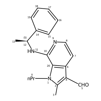 CCCn1c(C)c(C=O)c2ccnc(N[C@@H](C)c3ccccc3)c21